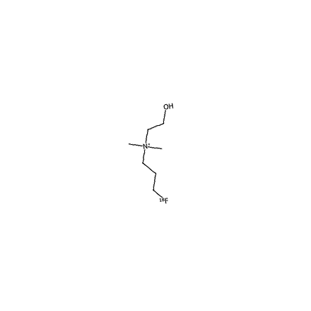 C[N+](C)(CCO)CCC[18F]